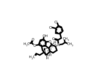 C=CCN1CC[C@]23c4c5c(OC(C)=O)cc(O)c4O[C@H]2[C@H](N(CC(C)C)C(=O)Cc2ccc(Cl)c(Cl)c2)CC[C@H]3[C@H]1C5